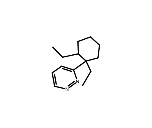 CCC1CCCCC1(CC)c1cccnn1